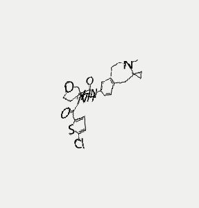 CN1CCc2cc(NC(=O)[C@]3(NC(=O)c4ccc(Cl)s4)CCOC3)ccc2CC12CC2